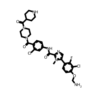 Cn1c(-c2ccc(OCN)c(Cl)c2F)cnc1C(=O)Nc1ccc(C(=O)N2CCN(C(=O)C3CCNCC3)CC2)c(Cl)c1